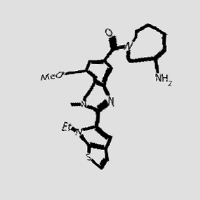 CCn1c(-c2nc3cc(C(=O)N4CCCCC(N)C4)cc(OC)c3n2C)cc2ccsc21